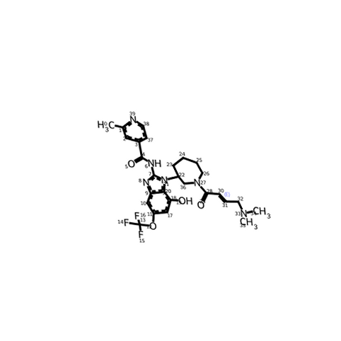 Cc1cc(C(=O)Nc2nc3cc(OC(F)(F)F)cc(O)c3n2C2CCCCN(C(=O)/C=C/CN(C)C)C2)ccn1